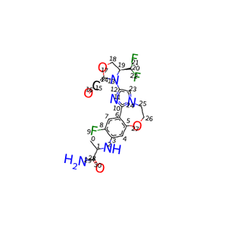 CC(Nc1cc2c(cc1F)-c1nc(N3C(=C=O)OC[C@H]3C(F)F)cn1CCO2)C(N)=O